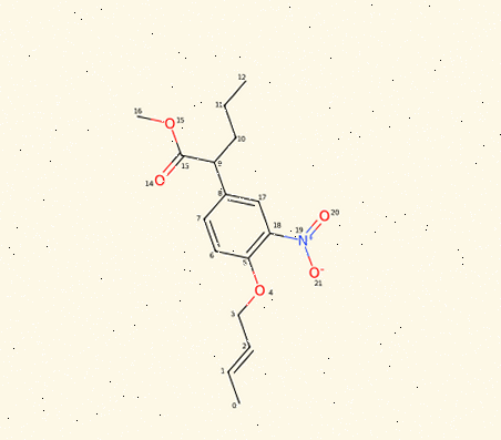 C/C=C/COc1ccc(C(CCC)C(=O)OC)cc1[N+](=O)[O-]